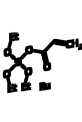 C=CC(=O)O[Si](OCC)(OCC)OCC.[Ru]